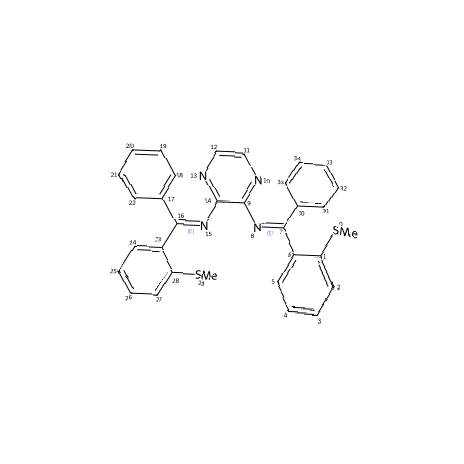 CSc1ccccc1/C(=N/c1nccnc1/N=C(\c1ccccc1)c1ccccc1SC)c1ccccc1